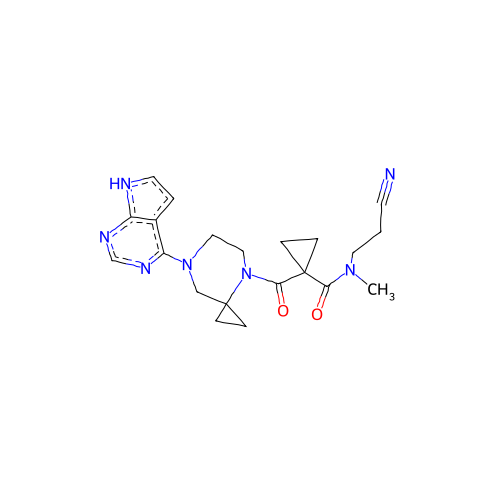 CN(CCC#N)C(=O)C1(C(=O)N2CCN(c3ncnc4[nH]ccc34)CC23CC3)CC1